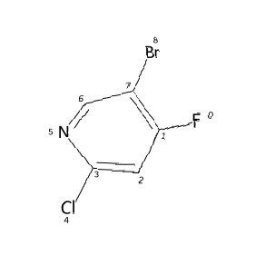 Fc1cc(Cl)ncc1Br